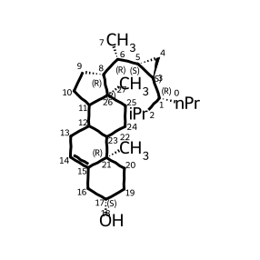 CCC[C@H](C(C)C)[C@@H]1C[C@H]1[C@@H](C)[C@H]1CCC2C3CC=C4C[C@@H](O)CC[C@]4(C)C3CC[C@@]21C